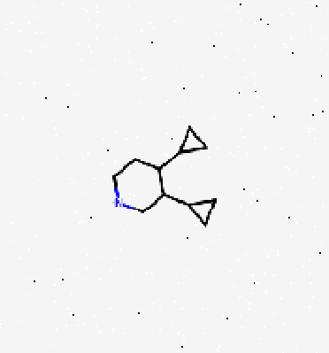 C1CC(C2CC2)C(C2CC2)C[N]1